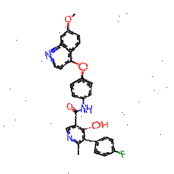 COc1ccc2c(Oc3ccc(NC(=O)c4cnc(C)c(-c5ccc(F)cc5)c4O)cc3)ccnc2c1